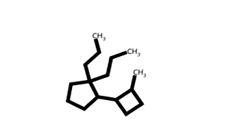 CCCC1(CCC)CCCC1C1CCC1C